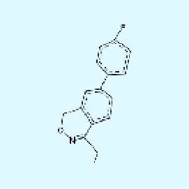 CCC1=NOCc2cc(-c3ccc(F)cc3)ccc21